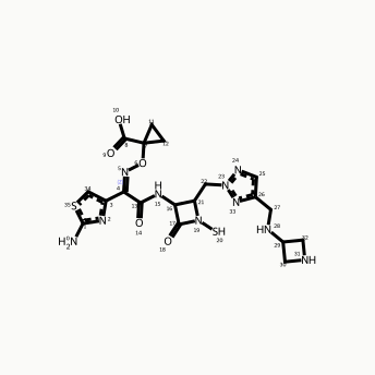 Nc1nc(/C(=N/OC2(C(=O)O)CC2)C(=O)NC2C(=O)N(S)C2Cn2ncc(CNC3CNC3)n2)cs1